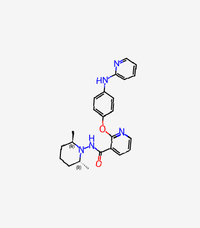 C[C@@H]1CCC[C@@H](C)N1NC(=O)c1cccnc1Oc1ccc(Nc2ccccn2)cc1